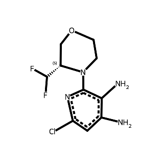 Nc1cc(Cl)nc(N2CCOC[C@H]2C(F)F)c1N